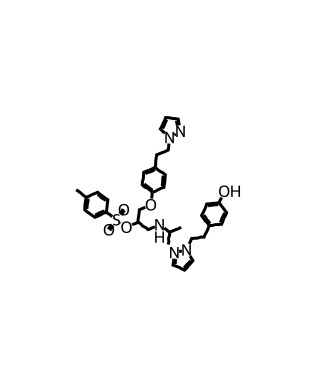 Cc1ccc(S(=O)(=O)OC(CNC(C)C)COc2ccc(CCn3cccn3)cc2)cc1.Oc1ccc(CCn2cccn2)cc1